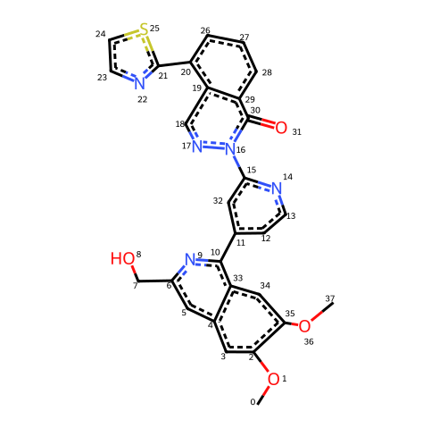 COc1cc2cc(CO)nc(-c3ccnc(-n4ncc5c(-c6nccs6)cccc5c4=O)c3)c2cc1OC